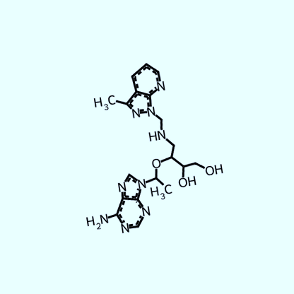 Cc1nn(CNCC(OC(C)n2cnc3c(N)ncnc32)C(O)CO)c2ncccc12